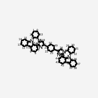 c1ccc(-n2c3ccccc3c3ccccc32)c(-n2cc(-c3ccc(-c4cn(-c5ccccc5-n5c6ccccc6c6ccccc65)nn4)cc3)nn2)c1